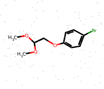 COC(COc1ccc(Br)cc1)OC